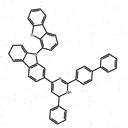 C1=C(c2ccc3c4c(n(-c5cccc6c5oc5ccccc56)c3c2)=CCCC=4)N=C(c2ccc(-c3ccccc3)cc2)NC1c1ccccc1